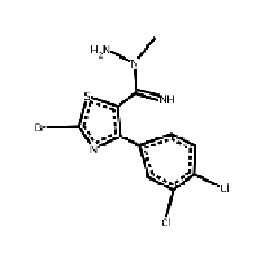 CN(N)C(=N)c1sc(Br)nc1-c1ccc(Cl)c(Cl)c1